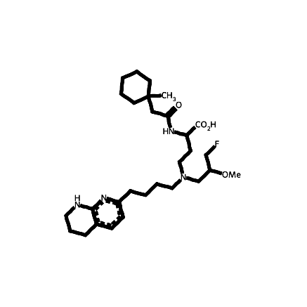 COC(CF)CN(CCCCc1ccc2c(n1)NCCC2)CCC(NC(=O)CC1(C)CCCCC1)C(=O)O